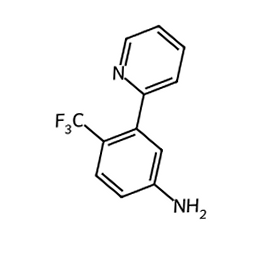 Nc1ccc(C(F)(F)F)c(-c2ccccn2)c1